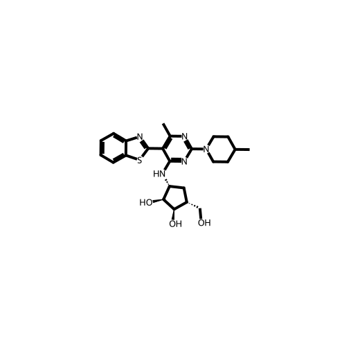 Cc1nc(N2CCC(C)CC2)nc(N[C@@H]2C[C@H](CO)[C@@H](O)[C@H]2O)c1-c1nc2ccccc2s1